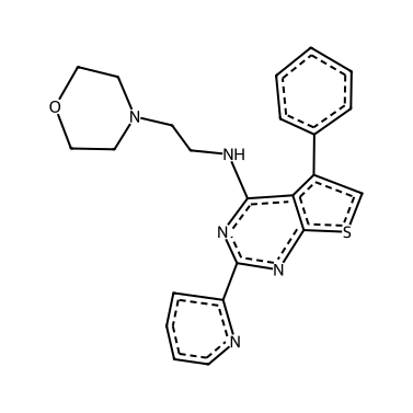 c1ccc(-c2csc3nc(-c4ccccn4)nc(NCCN4CCOCC4)c23)cc1